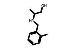 Cc1ccccc1CNC(C)CO